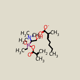 C=C(C)C(=O)OP(=O)(CC)C(CO)[N+](C)(C)C.CCCC/C=C(\C)C(=O)[O-]